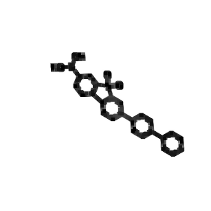 O=S1(=O)c2cc(B(O)O)ccc2-c2ccc(-c3ccc(-c4ccccc4)cc3)cc21